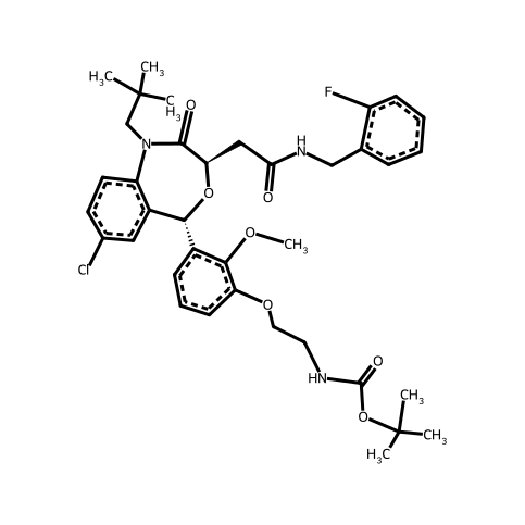 COc1c(OCCNC(=O)OC(C)(C)C)cccc1[C@H]1O[C@H](CC(=O)NCc2ccccc2F)C(=O)N(CC(C)(C)C)c2ccc(Cl)cc21